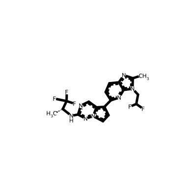 Cc1nc2ccc(-c3ccn4nc(N[C@H](C)C(F)(F)F)ncc34)nc2n1CC(F)F